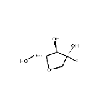 OC[C@H]1O[CH][C@](O)(F)[C@@H]1O